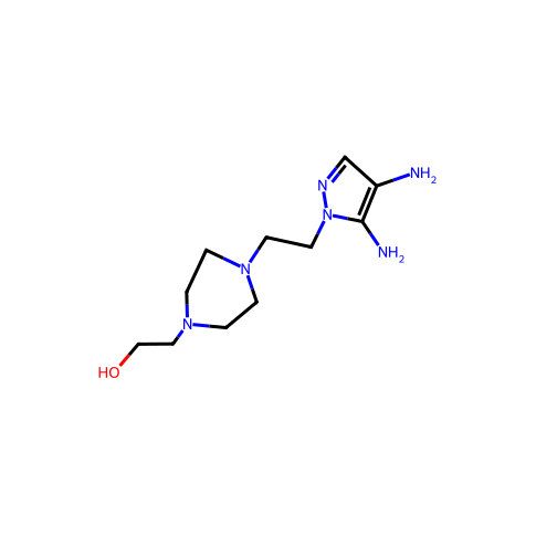 Nc1cnn(CCN2CCN(CCO)CC2)c1N